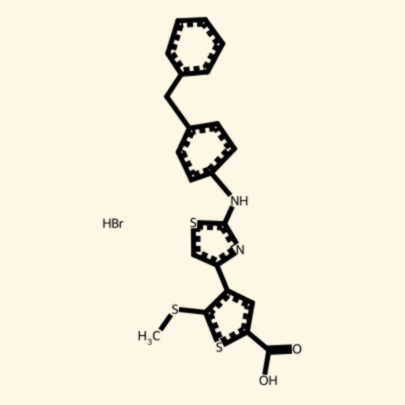 Br.CSc1sc(C(=O)O)cc1-c1csc(Nc2ccc(Cc3ccccc3)cc2)n1